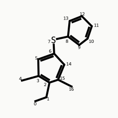 CCc1c(C)cc(Sc2ccccc2)cc1C